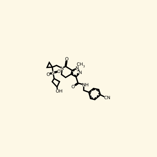 Cn1nc(C(=O)NCc2ccc(C#N)cc2)c2c1C(=O)N(CC1(S(=O)(=O)C3CC(O)C3)CC1)CC2